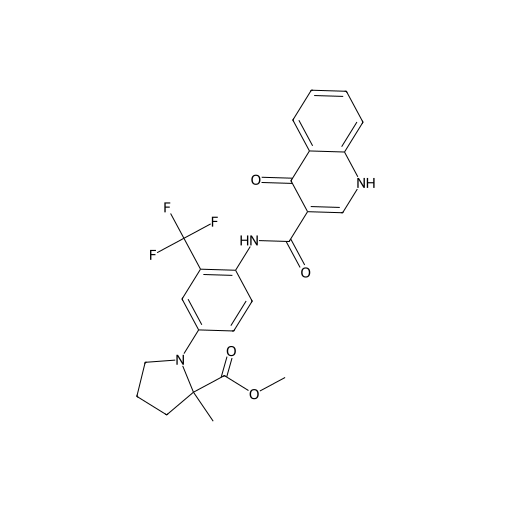 COC(=O)C1(C)CCCN1c1ccc(NC(=O)c2c[nH]c3ccccc3c2=O)c(C(F)(F)F)c1